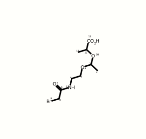 CC(OCCNC(=O)CBr)OC(C)C(=O)O